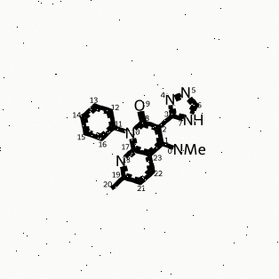 CNc1c(-c2nnc[nH]2)c(=O)n(-c2ccccc2)c2nc(C)ccc12